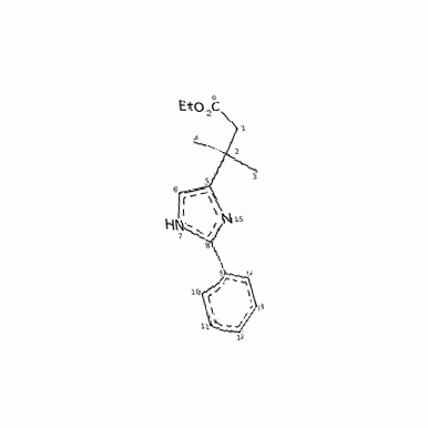 CCOC(=O)CC(C)(C)c1c[nH]c(-c2cc[c]cc2)n1